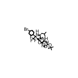 CC(C)C[C@H](N[C@@](C#CCO)(c1ccc(Br)cc1)C(F)(F)F)C(=O)N[C@@H](CC(=O)OC(C)(C)C)C(N)=O